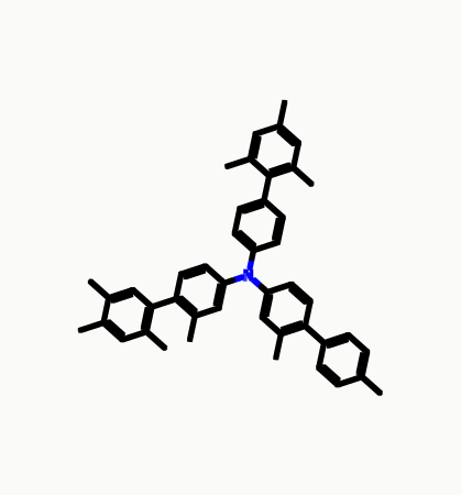 Cc1ccc(-c2ccc(N(c3ccc(-c4c(C)cc(C)cc4C)cc3)c3ccc(-c4cc(C)c(C)cc4C)c(C)c3)cc2C)cc1